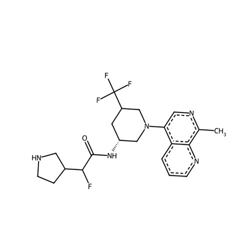 Cc1ncc(N2CC(C(F)(F)F)C[C@@H](NC(=O)C(F)C3CCNC3)C2)c2cccnc12